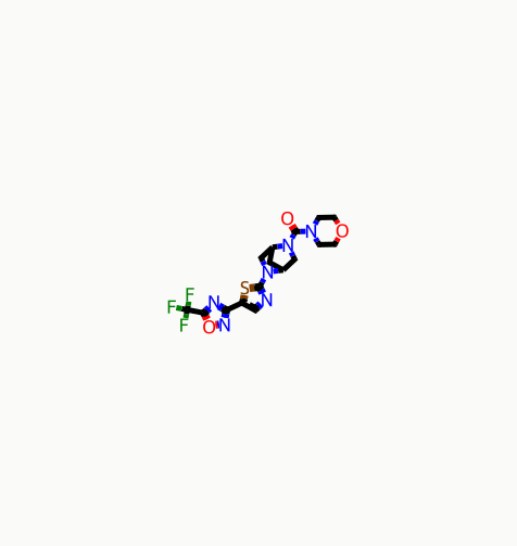 O=C(N1CCOCC1)N1CC2CC1CN2c1ncc(-c2noc(C(F)(F)F)n2)s1